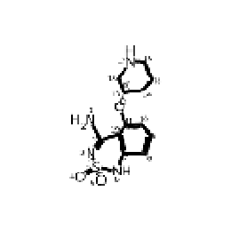 NC1=NS(=O)(=O)Nc2cccc(O[C@H]3CCCNC3)c21